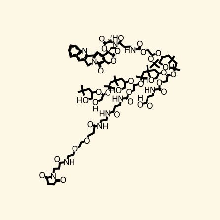 CC[C@@]1(OC(=O)[C@H](C)NC(=O)CCNC(=O)OCC(OC(CO)CC(C)(C)CC(C)(C)OC(COC(=O)NCCC(=O)O)OC(CO)CC(C)(C)CC(C)(C)OC(COC(=O)NCCC(=O)NCCNC(=O)CCOCCOCCNC(=O)CCN2C(=O)C=CC2=O)OC(CO)CC(C)(C)CC(C)(C)OC(CO)OC(CO)CC(C)(C)C)OC(C)(C)C)C(=O)OCc2c1cc1n(c2=O)Cc2cc3ccccc3nc2-1